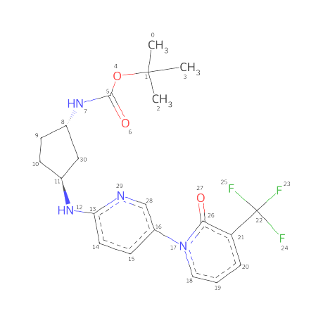 CC(C)(C)OC(=O)N[C@H]1CC[C@H](Nc2ccc(-n3cccc(C(F)(F)F)c3=O)cn2)C1